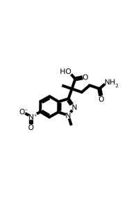 Cn1nc(C(C)(CCC(N)=O)C(=O)O)c2ccc([N+](=O)[O-])cc21